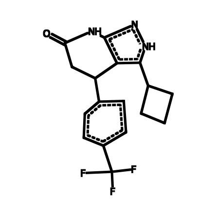 O=C1CC(c2ccc(C(F)(F)F)cc2)c2c(n[nH]c2C2CCC2)N1